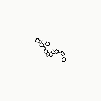 c1ccc(-c2cccc(-c3ccc4oc5c(ccc6oc7ccc(-n8c9ccccc9c9c%10oc%11ccccc%11c%10ccc98)cc7c65)c4c3)c2)cc1